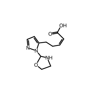 O=C(O)/C=C\CCc1ccnn1C1NCCO1